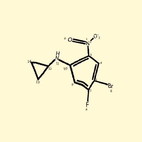 O=[N+]([O-])c1cc(Br)c(F)cc1NC1CC1